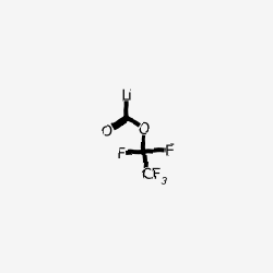 [Li][C](=O)OC(F)(F)C(F)(F)F